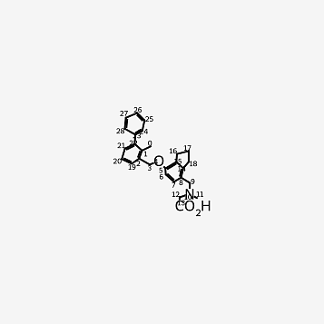 Cc1c(COc2ccc(CN(C)CC(=O)O)c3c2CCC3)cccc1-c1ccccc1